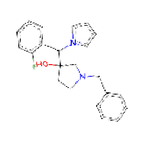 OC1(C(c2ccccc2F)n2cccc2)CCN(Cc2ccccc2)C1